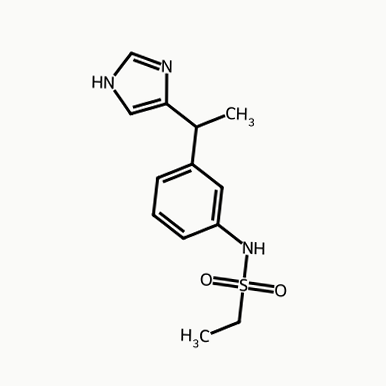 CCS(=O)(=O)Nc1cccc(C(C)c2c[nH]cn2)c1